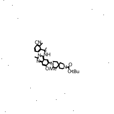 COc1cc2nc(C)nc(N[C@H](C)c3cccc(C#N)c3C)c2cc1N1CCC2(CCN(C(=O)OC(C)(C)C)CC2)CC1